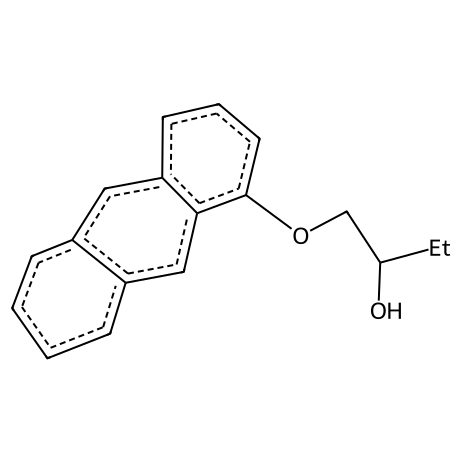 CCC(O)COc1cccc2cc3ccccc3cc12